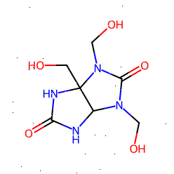 O=C1NC2N(CO)C(=O)N(CO)C2(CO)N1